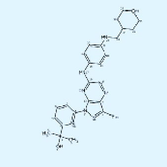 CC(C)(O)c1cccc(-n2cc(F)c3cnc(Nc4ccc(NCC5CCOCC5)cc4)nc32)n1